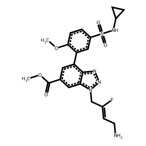 COC(=O)c1cc(-c2cc(S(=O)(=O)NC3CC3)ccc2OC)c2nnn(C/C(F)=C/CN)c2c1